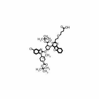 C[C@@H]1CN(C(=O)OC(C)(C)C)CCC1n1c(O[C@H]2C[C@@H](C(=O)OC(C)(C)C)N(c3nc(CCOCCCC(=O)O)nc4c3oc3ccccc34)C2)nc2cc(Cl)ccc21